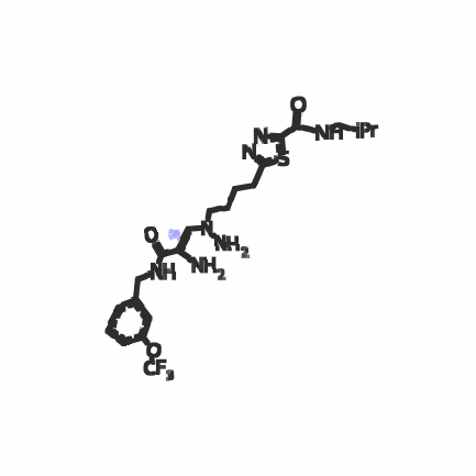 CC(C)CNC(=O)c1nnc(CCCCN(N)/C=C(\N)C(=O)NCc2cccc(OC(F)(F)F)c2)s1